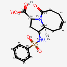 O=C(O)[C@@H]1CC(NS(=O)(=O)c2ccccc2)[C@@H]2CC=CCCC(=O)N12